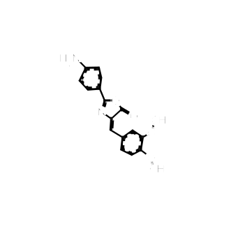 COc1ccc(C=C2N=C(c3ccc(N)cc3)OC2=O)cc1OC